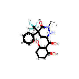 CN1NC(C(=O)C2=C(O)CCCC2=O)=CC(c2ccccc2)(C(F)(F)F)C1=O